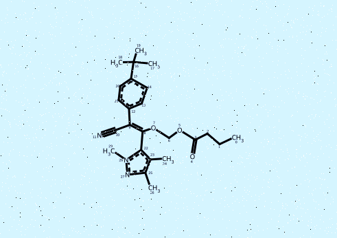 CCCC(=O)OCO/C(=C(/C#N)c1ccc(C(C)(C)C)cc1)c1c(C)c(C)nn1C